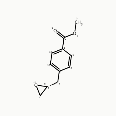 COC(=O)c1ccc(C[C@@H]2CO2)cc1